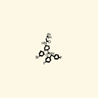 CC(C)NCC(=O)N[C@@H]1CC[C@@H](C(=O)NC(c2ccc(F)cc2)c2ccc(F)cc2)[C@H](c2ccc(Br)cc2)C1